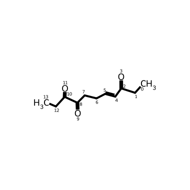 CCC(=O)C=CCCC(=O)C(=O)CC